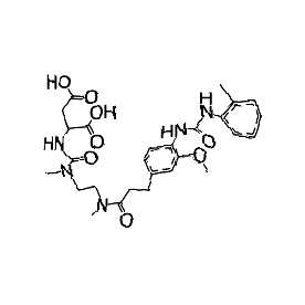 COc1cc(CCC(=O)N(C)CCN(C)C(=O)NC(CC(=O)O)C(=O)O)ccc1NC(=O)Nc1ccccc1C